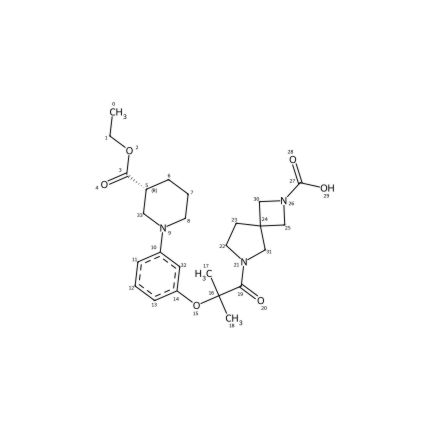 CCOC(=O)[C@@H]1CCCN(c2cccc(OC(C)(C)C(=O)N3CCC4(CN(C(=O)O)C4)C3)c2)C1